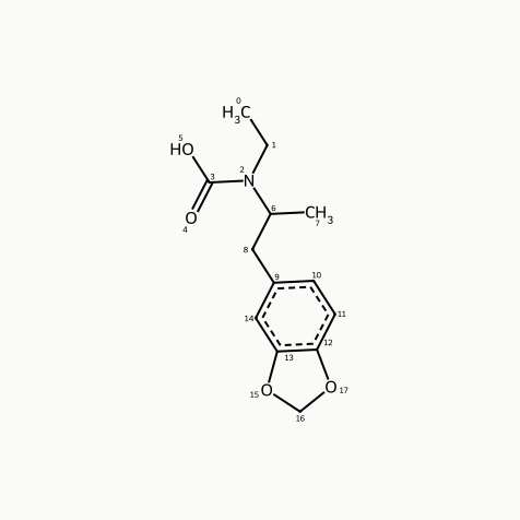 CCN(C(=O)O)C(C)Cc1ccc2c(c1)OCO2